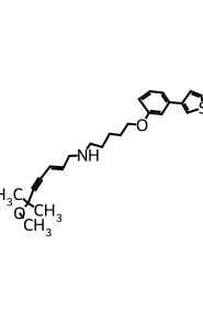 COC(C)(C)C#CC=CCNCCCCCOc1cccc(-c2ccsc2)c1